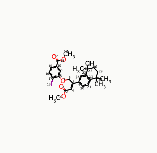 COC(=O)/C=C(\COc1cc(C(=O)OC)ccc1I)c1ccc2c(c1)C(C)(C)CCC2(C)C